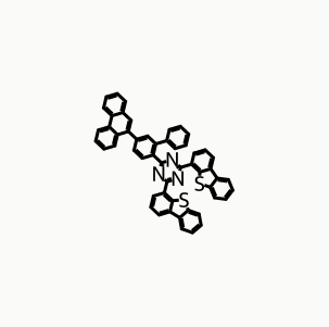 c1ccc(-c2cc(-c3cc4ccccc4c4ccccc34)ccc2-c2nc(-c3cccc4c3sc3ccccc34)nc(-c3cccc4c3sc3ccccc34)n2)cc1